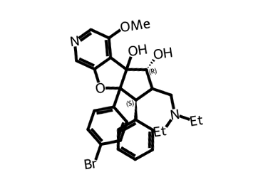 CCN(CC)CC1[C@@H](O)C2(O)c3c(OC)cncc3OC2(c2ccc(Br)cc2)[C@@H]1c1ccccc1